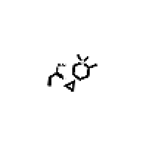 C1CC1.C=CC(=O)OC.CC1CCCC[Si]1(C)C